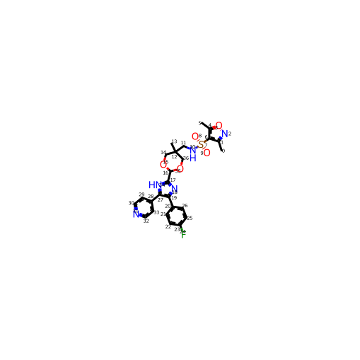 Cc1noc(C)c1S(=O)(=O)NCC1(C)COC(c2nc(-c3ccc(F)cc3)c(-c3ccncc3)[nH]2)OC1